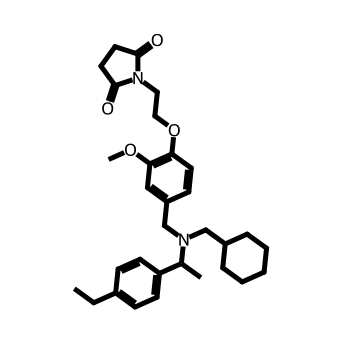 CCc1ccc(C(C)N(Cc2ccc(OCCN3C(=O)CCC3=O)c(OC)c2)CC2CCCCC2)cc1